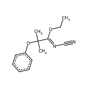 CCOC(=NC#N)C(C)(C)Oc1ccccc1